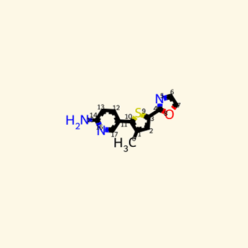 Cc1cc(-c2ncco2)sc1-c1ccc(N)nc1